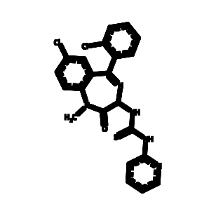 CN1C(=O)C(NC(=S)Nc2ccccn2)N=C(c2ccccc2Cl)c2cc(Cl)ccc21